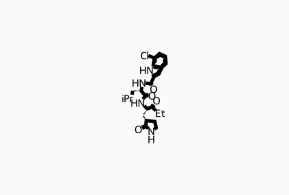 CCC(=O)[C@H](C[C@@H]1CCNC1=O)NC(=O)[C@H](CC(C)C)NC(=O)c1cc2cccc(Cl)c2[nH]1